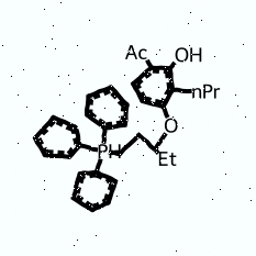 CCCc1c(OC(CC)CC[PH](c2ccccc2)(c2ccccc2)c2ccccc2)ccc(C(C)=O)c1O